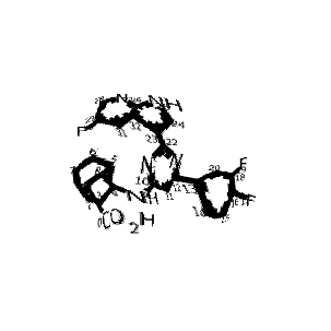 O=C(O)C1C2CCC(CC2)C1Nc1cc(-c2ccc(F)c(F)c2)nc(-c2c[nH]c3ncc(F)cc23)n1